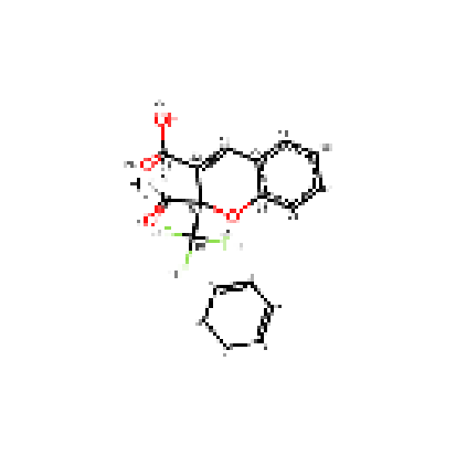 C1=CCCC=C1.CC(=O)[C@@]1(C(F)(F)F)Oc2ccccc2C=C1C(=O)O